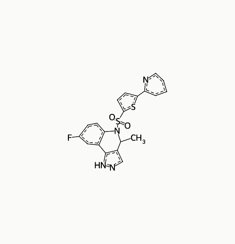 CC1c2cn[nH]c2-c2cc(F)ccc2N1S(=O)(=O)c1ccc(-c2ccccn2)s1